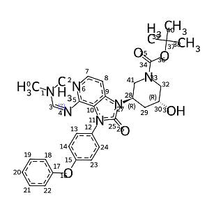 CN(C)/C=N\c1nccc2c1n(-c1ccc(Oc3ccccc3)cc1)c(=O)n2[C@@H]1C[C@@H](O)CN(C(=O)OC(C)(C)C)C1